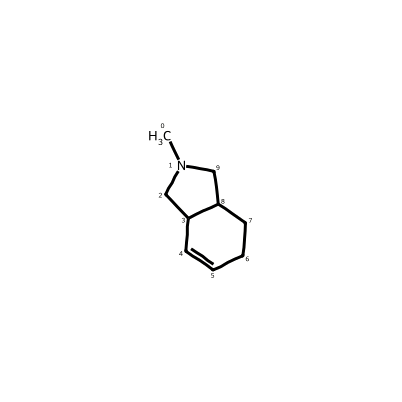 CN1CC2C=CCCC2C1